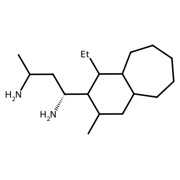 CCC1C2CCCCCC2CC(C)C1[C@H](N)CC(C)N